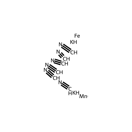 C#N.C#N.C#N.C#N.C#N.C#N.[Fe].[KH].[KH].[Mn]